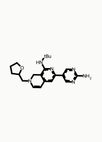 CC(C)(C)Nc1nc(-c2cnc(N)nc2)cc2c1CN(CC1CCCO1)C=C2